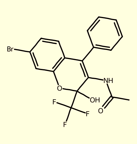 CC(=O)NC1=C(c2ccccc2)c2ccc(Br)cc2OC1(O)C(F)(F)F